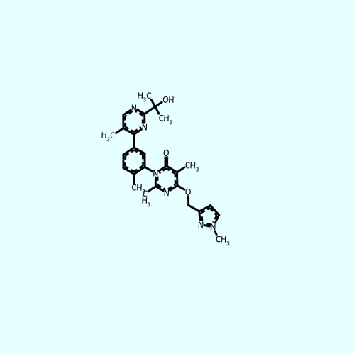 Cc1ccc(-c2nc(C(C)(C)O)ncc2C)cc1-n1c(C)nc(OCc2ccn(C)n2)c(C)c1=O